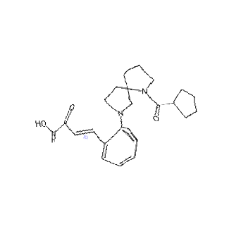 O=C(/C=C/c1ccccc1N1CCC2(CCCN2C(=O)C2CCCC2)C1)NO